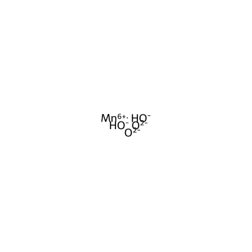 [Mn+6].[O-2].[O-2].[OH-].[OH-]